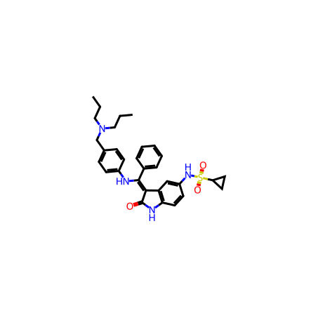 CCCN(CCC)Cc1ccc(N/C(=C2\C(=O)Nc3ccc(NS(=O)(=O)C4CC4)cc32)c2ccccc2)cc1